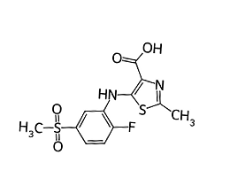 Cc1nc(C(=O)O)c(Nc2cc(S(C)(=O)=O)ccc2F)s1